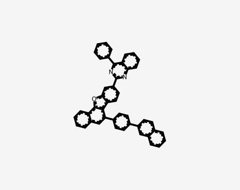 c1ccc(-c2nc(-c3ccc4c(c3)oc3c5ccccc5cc(-c5ccc(-c6ccc7ccccc7c6)cc5)c43)nc3ccccc23)cc1